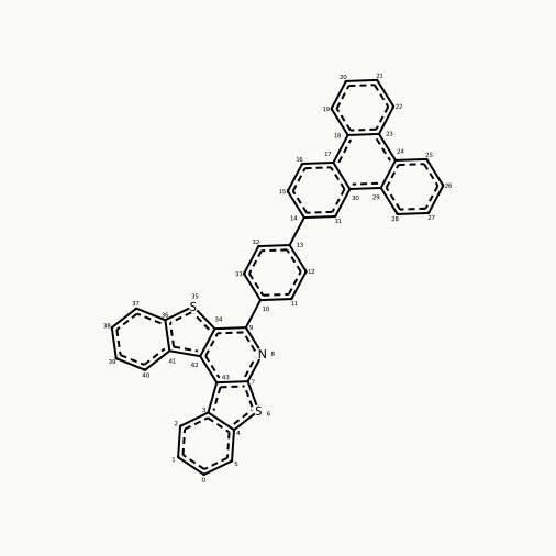 c1ccc2c(c1)sc1nc(-c3ccc(-c4ccc5c6ccccc6c6ccccc6c5c4)cc3)c3sc4ccccc4c3c12